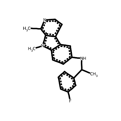 Cc1nccc2c3cc(NC(C)c4cccc(F)c4)ccc3n(C)c12